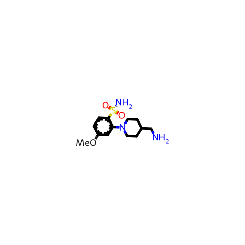 COc1ccc(S(N)(=O)=O)c(N2CCC(CN)CC2)c1